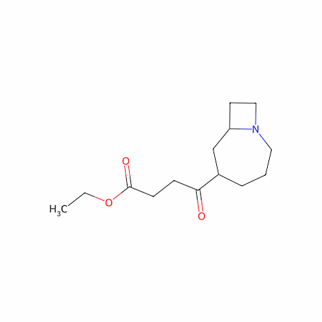 CCOC(=O)CCC(=O)C1CCCN2CCC2C1